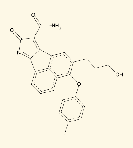 Cc1ccc(Oc2c(CCCO)cc3c4c(cccc24)C2=NC(=O)C(C(N)=O)=C23)cc1